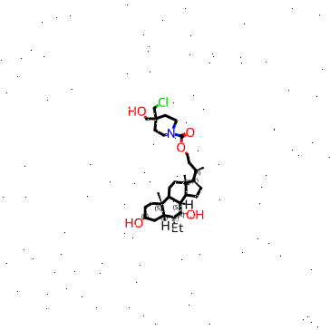 CC[C@H]1[C@@H](O)[C@H]2C3CC[C@H]([C@H](C)CCOC(=O)N4CCC(CO)(CCl)CC4)[C@@]3(C)CCC2[C@@]2(C)CC[C@@H](O)C[C@@H]12